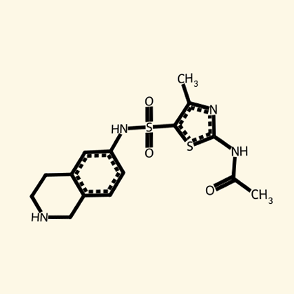 CC(=O)Nc1nc(C)c(S(=O)(=O)Nc2ccc3c(c2)CCNC3)s1